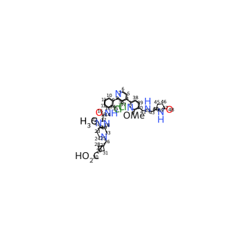 COc1nc(-c2ccnc(-c3cccc(NC(=O)c4nc5c(n4C)CCN(CC46CC(C(=O)O)(C4)C6)C5)c3Cl)c2Cl)ccc1CNC[C@H]1CCC(=O)N1